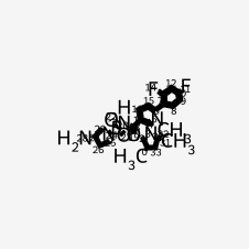 C[C@@H]1CN(c2nc(-c3ccc(F)cc3F)ccc2C(=O)NS(=O)(=O)N2CC[C@H](N)C2)C(C)(C)C1